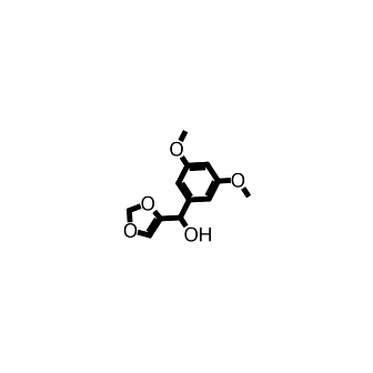 COc1cc(OC)cc(C(O)C2=COCO2)c1